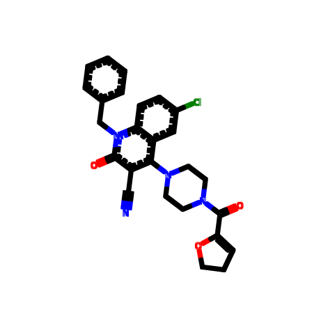 N#Cc1c(N2CCN(C(=O)C3=CCCO3)CC2)c2cc(Cl)ccc2n(Cc2ccccc2)c1=O